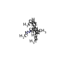 C=C/N=C\C=C(/C)Nc1nc(N2CCN[C@@H](C(C)C)C2)nc2c(C)nn(CCOCC)c12